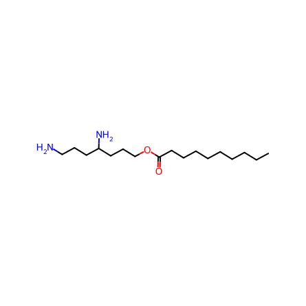 CCCCCCCCCC(=O)OCCCC(N)CCCN